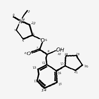 C[N+]1(C)CCC(OC(=O)C(O)c2ccccc2C2CCCC2)C1